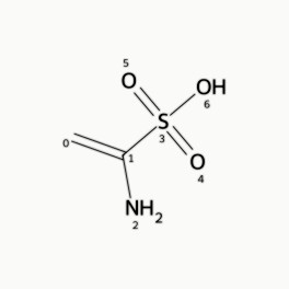 C=C(N)S(=O)(=O)O